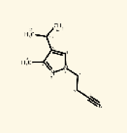 Cc1nn(CCC#N)cc1C(C)C